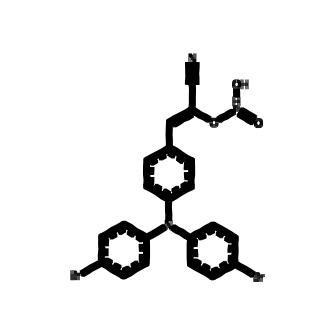 N#CC(=Cc1ccc(N(c2ccc(Br)cc2)c2ccc(Br)cc2)cc1)O[PH](=O)O